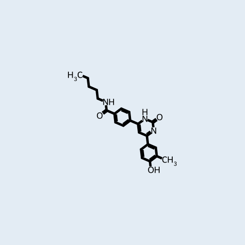 CCCCCNC(=O)c1ccc(-c2cc(-c3ccc(O)c(C)c3)nc(=O)[nH]2)cc1